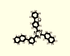 c1cc(-c2ccc3ccccc3c2)cc(-c2nc(-c3ccc4ccccc4c3)nc(-c3ccc4c(c3)oc3ccccc34)n2)c1